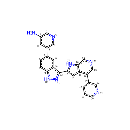 Nc1cncc(-c2ccc3[nH]nc(-c4cc5c(-c6cccnc6)cncc5[nH]4)c3c2)c1